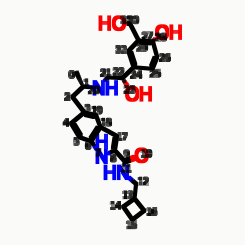 C[C@H](Cc1ccc2[nH]c(C(=O)NCC3CCC3)cc2c1)NC[C@H](O)c1ccc(O)c(CO)c1